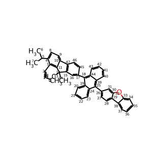 C/C=C\c1c(C(C)C)ccc2c1C(C)(C)c1cc(-c3c4ccccc4c(-c4ccc5c(c4)oc4ccccc45)c4ccccc34)ccc1-2